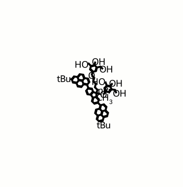 CCCC(C)(Oc1cc(CO)c(O)c(CO)c1)C1(CCCCCOc2cc(CO)c(O)c(CO)c2)c2cc(-c3ccc4ccc5cc(C(C)(C)C)cc6ccc3c4c56)ccc2-c2ccc(-c3ccc4ccc5cc(C(C)(C)C)cc6ccc3c4c56)cc21